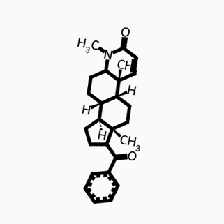 CN1C(=O)C=C[C@@]2(C)C1CC[C@@H]1[C@H]2CC[C@]2(C)C(C(=O)c3ccccc3)CC[C@@H]12